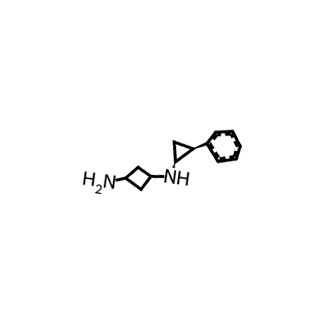 NC1CC(N[C@@H]2C[C@H]2c2ccccc2)C1